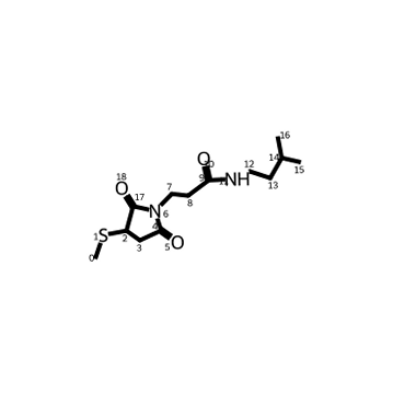 CSC1CC(=O)N(CCC(=O)NCCC(C)C)C1=O